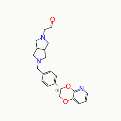 O=CCN1CC2CN(Cc3ccc([C@H]4COc5cccnc5O4)cc3)CC2C1